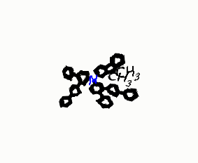 CC1(C)c2ccccc2-c2ccc(N(c3ccc(-c4ccccc4)c(-c4ccc(-c5ccccc5)cc4)c3)c3ccc(-c4ccccc4)c(-c4ccc(-c5ccccc5)cc4)c3)cc21